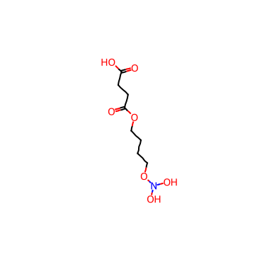 O=C(O)CCC(=O)OCCCCON(O)O